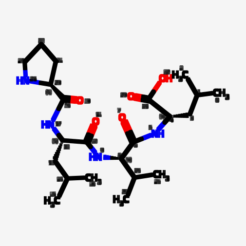 CC(C)C[C@H](NC(=O)[C@@H](NC(=O)[C@H](CC(C)C)NC(=O)[C@@H]1CCCN1)C(C)C)C(=O)O